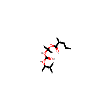 CCCC(C)C(=O)OC(C)(C)OC(=O)OC(C)C(C)C